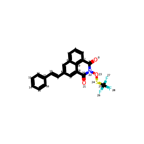 O=C1c2cccc3cc(/C=C/c4ccccc4)cc(c23)C(=O)N1OSC(F)(F)F